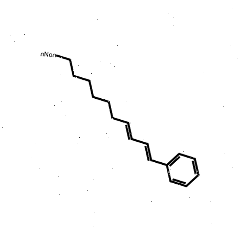 CCCCCCCCCCCCCCC/[C]=C/C=C/c1ccccc1